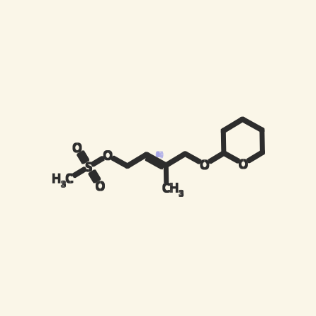 C/C(=C\COS(C)(=O)=O)COC1CCCCO1